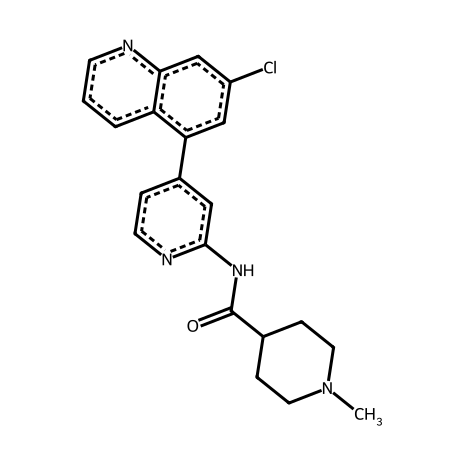 CN1CCC(C(=O)Nc2cc(-c3cc(Cl)cc4ncccc34)ccn2)CC1